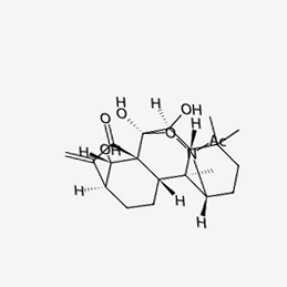 C=C1C(=O)[C@]23[C@@H](O)[C@H]1CC[C@H]2[C@@]1(C)[C@@H]2[C@H](O)[C@@]3(O)ON(C(C)=O)[C@@H]1CCC2(C)C